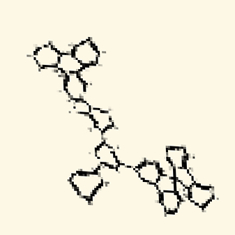 c1ccc(-c2cc(-c3ccc4c(c3)-c3ccccc3C43c4ccccc4-c4ccccc43)nc(-c3cnc4c(c3)sc3cc5c6ccccc6c6ccccc6c5cc34)c2)cc1